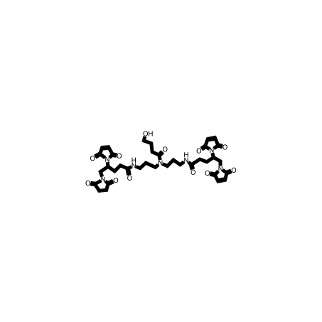 O=C(CCC(CN1C(=O)C=CC1=O)N1C(=O)C=CC1=O)NCCCN(CCCNC(=O)CCC(CN1C(=O)CCC1=O)N1C(=O)C=CC1=O)C(=O)CCCO